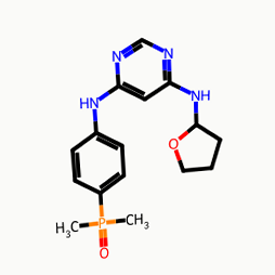 CP(C)(=O)c1ccc(Nc2cc(NC3CCCO3)ncn2)cc1